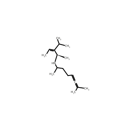 C/C=C(/C(C)C)[C@@H](C)NC(C)CCC=C=C(C)C